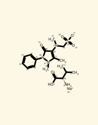 CC(C)[C@H](N)C(=O)O.Cc1c(N(C)CS(=O)(=O)[O-])c(=O)n(-c2ccccc2)n1C.[Na+]